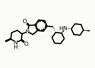 C=C1CCC(N2Cc3cc(C[C@H]4CCCC[C@@H]4N[C@H]4CC[C@H](C)CC4)ccc3C2=O)C(=O)N1